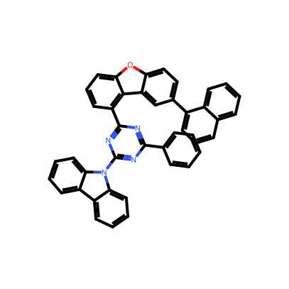 c1ccc(-c2nc(-c3cccc4oc5ccc(-c6cccc7ccccc67)cc5c34)nc(-n3c4ccccc4c4ccccc43)n2)cc1